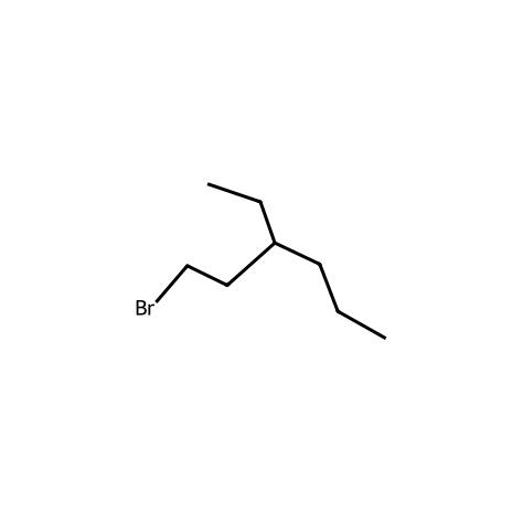 CCCC(CC)CCBr